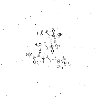 C=C(C)C(=O)NCCCN(C)C.CCCS(=O)(=O)O.CCCS(=O)(=O)O.N